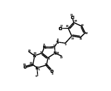 Cn1c(=O)c2c(nc(SCc3cccc(Cl)c3Cl)n2C)n(C)c1=O